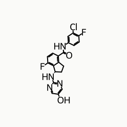 O=C(Nc1ccc(F)c(Cl)c1)c1ccc(F)c2c1CC[C@@H]2Nc1ncc(O)cn1